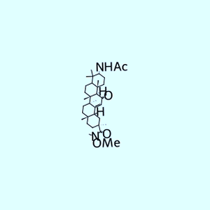 CON(C)C(=O)[C@@]1(C)CC[C@]2(C)CC[C@]3(C)C(=CC(=O)[C@@H]4[C@@]5(C)CC[C@@H](NC(C)=O)C(C)(C)C5CC[C@]43C)[C@@H]2C1